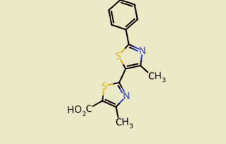 Cc1nc(-c2sc(-c3ccccc3)nc2C)sc1C(=O)O